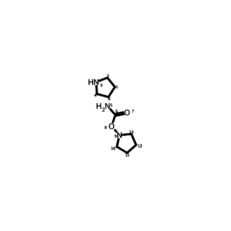 C1CCNC1.NC(=O)ON1CCCC1